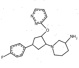 NC1CCCN(C2CC(c3ccc(F)cc3)CC2Oc2cccnn2)C1